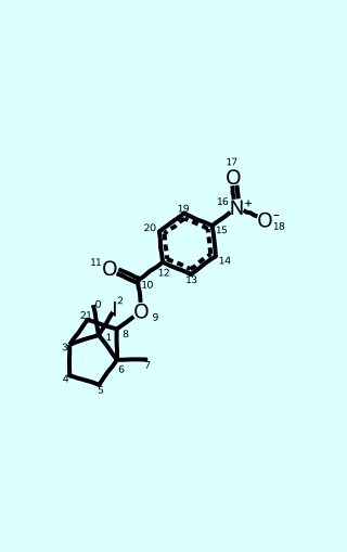 CC1(I)C2CCC1(C)C(OC(=O)c1ccc([N+](=O)[O-])cc1)C2